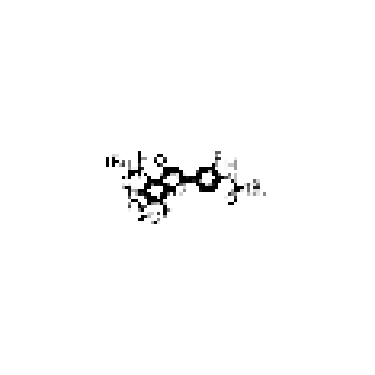 CC(C)(C)C(=O)Nc1ccc(-c2cc(=O)c3c(NC(=O)C(C)(C)C)c(F)c(S(C)(=O)=O)c(F)c3o2)cc1F